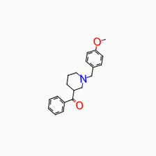 COc1ccc(CN2CCCC(C(=O)c3ccccc3)C2)cc1